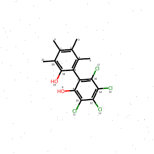 Cc1c(C)c(C)c(-c2c(O)c(Cl)c(Cl)c(Cl)c2Cl)c(O)c1C